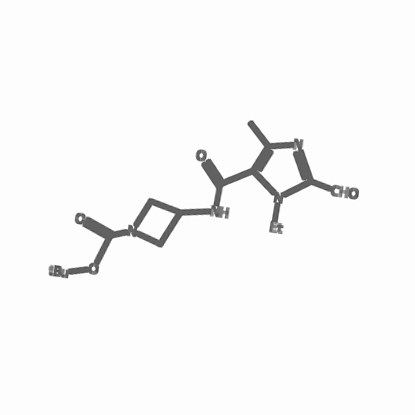 CCn1c(C=O)nc(C)c1C(=O)NC1CN(C(=O)OC(C)(C)C)C1